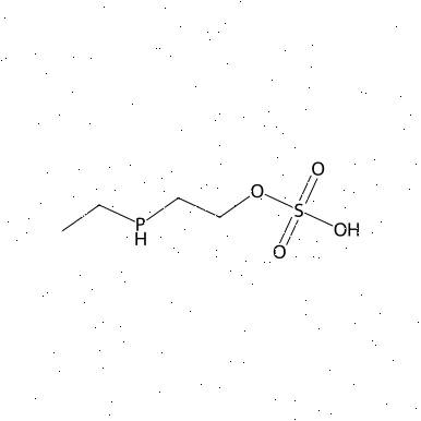 CCPCCOS(=O)(=O)O